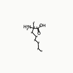 CCCCCCC(C)(N)C(=O)O